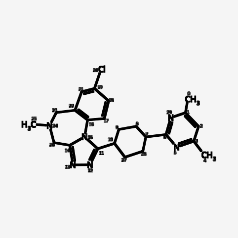 Cc1cc(C)nc(C2CCC(c3nnc4n3-c3ccc(Cl)cc3CN(C)C4)CC2)n1